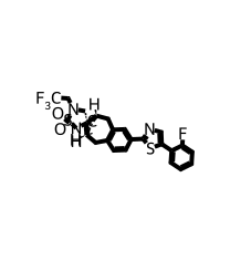 O=S1(=O)N[C@@]2(CN1CC(F)(F)F)[C@@H]1CC[C@H]2Cc2ccc(-c3ncc(-c4ccccc4F)s3)cc2C1